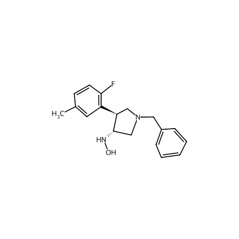 Cc1ccc(F)c([C@H]2CN(Cc3ccccc3)C[C@@H]2NO)c1